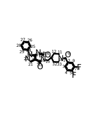 O=C(c1ccc(F)c(F)c1)N1CCC(O)(Cn2cnc3c(cnn3-c3ccccc3)c2=O)CC1